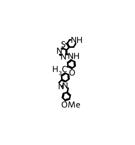 COc1ccc(Cn2ncc3ccc(Oc4ccc(Nc5ncnc6sc7c(c56)CCNC7)cc4C)cc32)cc1